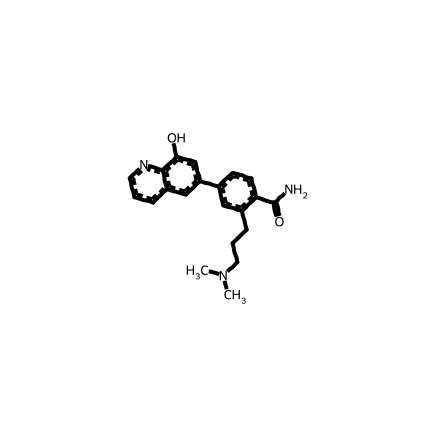 CN(C)CCCc1cc(-c2cc(O)c3ncccc3c2)ccc1C(N)=O